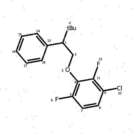 CC(C)(C)C(COc1c(F)ccc(Cl)c1F)c1ccccc1